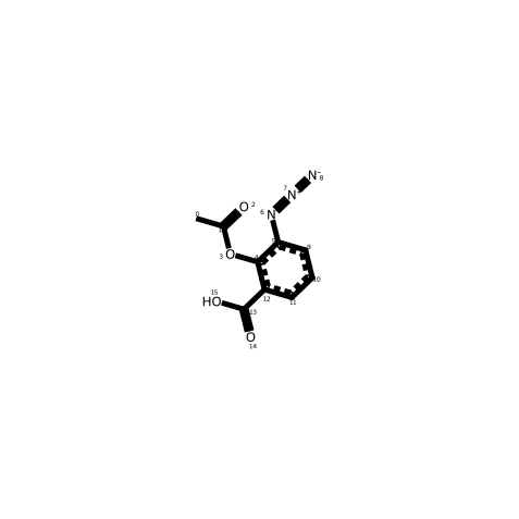 CC(=O)Oc1c(N=[N+]=[N-])cccc1C(=O)O